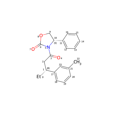 CC[C@H](CC(=O)N1C(=O)OC[C@@H]1c1ccccc1)c1cccc(C)c1